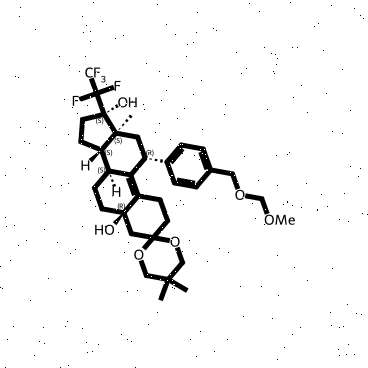 COCOCc1ccc([C@H]2C[C@@]3(C)[C@@H](CC[C@@]3(O)C(F)(F)C(F)(F)F)[C@@H]3CC[C@@]4(O)CC5(CCC4=C32)OCC(C)(C)CO5)cc1